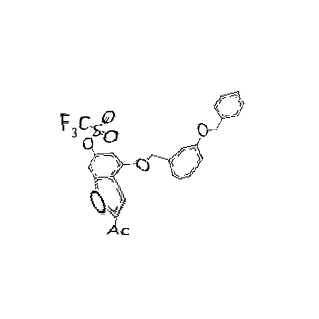 CC(=O)c1cc2c(OCc3cccc(OCc4ccccc4)c3)cc(OS(=O)(=O)C(F)(F)F)cc2o1